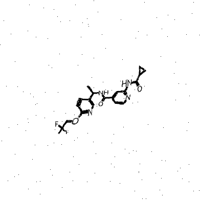 CC(NC(=O)c1ccnc(NC(=O)C2CC2)c1)c1ccc(OCC(C)(F)F)nc1